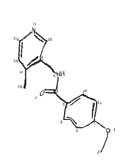 COc1ccc(C(=O)Nc2cnccc2C)cc1